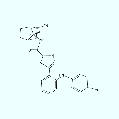 N#CN1CC2CCC1[C@@H]2NC(=O)c1ncc(-c2ccccc2Nc2ccc(F)cc2)s1